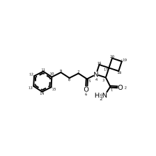 NC(=O)C1N(C(=O)CCCc2ccccc2)CC12C[CH]C2